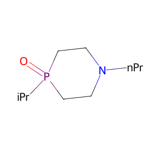 CCCN1CCP(=O)(C(C)C)CC1